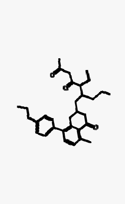 CCCc1ccc(-c2ccc(C)c3c2CC(CC(CCC)C(CC)C(=O)CC(C)=O)CC3=O)cc1